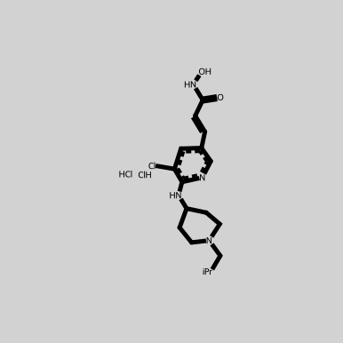 CC(C)CN1CCC(Nc2ncc(/C=C/C(=O)NO)cc2Cl)CC1.Cl.Cl